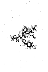 CCC[C@H](CC1(C(=O)N[C@H](COCc2ccc(Cl)cc2)CC(=O)OCC)CCCC1)C(=O)OC(C)(C)C